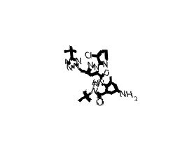 Cc1cc(N)cc(C(=O)NC(C)(C)C)c1NC(=O)c1cc(Cn2nnc(C(C)(C)C)n2)nn1-c1ncccc1Cl